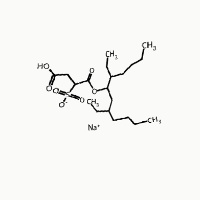 CCCCC(CC)CC(OC(=O)C(CC(=O)O)S(=O)(=O)[O-])C(CC)CCCC.[Na+]